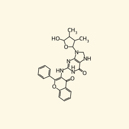 CC1C(O)OC(N2CNc3c2nc(Nc2c(-c4ccccc4)oc4ccccc4c2=O)[nH]c3=O)C1C